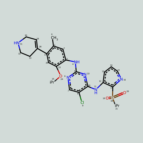 Cc1cc(Nc2ncc(Cl)c(Nc3cccnc3S(=O)(=O)C(C)C)n2)c(OC(C)C)cc1C1=CCNCC1